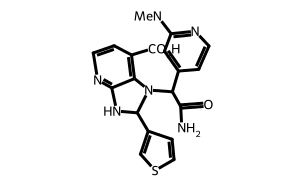 CNc1cc(C(C(N)=O)N2c3c(C(=O)O)ccnc3NC2c2ccsc2)ccn1